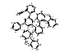 N#Cc1ccccc1-c1cc(-c2ccccc2)cc(-c2c(-c3cccc4oc5ccccc5c34)cccc2-c2cccc3sc4ccccc4c23)c1